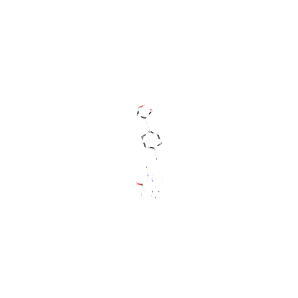 COC(=O)NCCc1ccc(-c2ccoc2)cc1